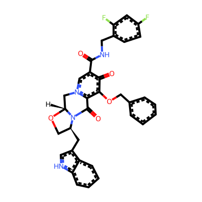 O=C(NCc1ccc(F)cc1F)c1cn2c(c(OCc3ccccc3)c1=O)C(=O)N1[C@@H](Cc3c[nH]c4ccccc34)CO[C@@H]1C2